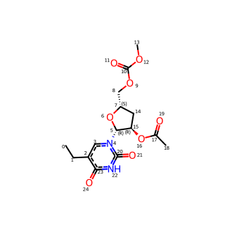 CCc1cn([C@@H]2O[C@H](COC(=O)OC)C[C@H]2OC(C)=O)c(=O)[nH]c1=O